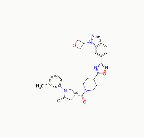 Cc1cccc(N2C[C@H](C(=O)N3CCC(c4nc(-c5ccc6cnn(C7COC7)c6c5)no4)CC3)CC2=O)c1